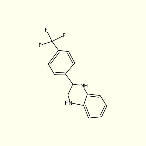 FC(F)(F)c1ccc(C2CNc3ccccc3N2)cc1